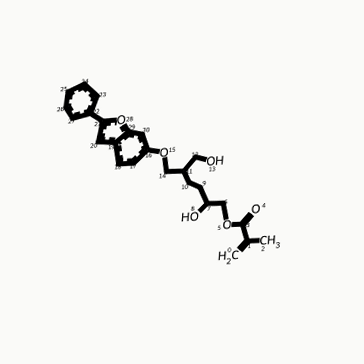 C=C(C)C(=O)OCC(O)CCC(CO)COc1ccc2cc(-c3ccccc3)oc2c1